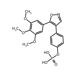 COc1cc(-c2oncc2-c2ccc(OP(=O)(O)O)cc2)cc(OC)c1OC